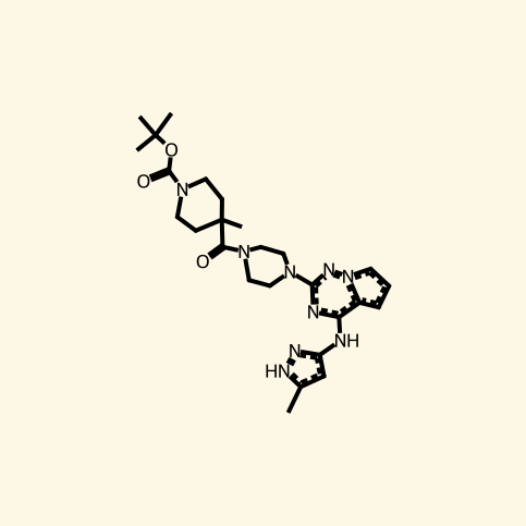 Cc1cc(Nc2nc(N3CCN(C(=O)C4(C)CCN(C(=O)OC(C)(C)C)CC4)CC3)nn3cccc23)n[nH]1